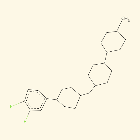 CC1CCC(C2CCC(CC3CCC(c4ccc(F)c(F)c4)CC3)CC2)CC1